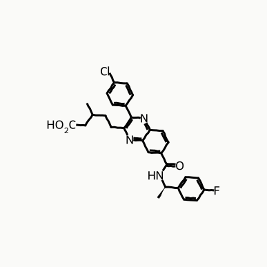 CC(CCc1nc2cc(C(=O)N[C@H](C)c3ccc(F)cc3)ccc2nc1-c1ccc(Cl)cc1)CC(=O)O